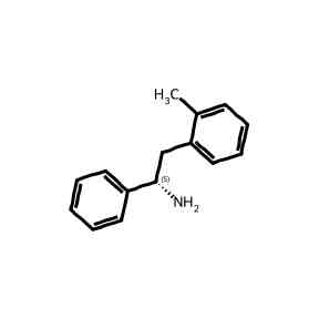 Cc1ccccc1C[C@H](N)c1ccccc1